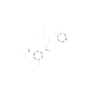 CCCN(CCC)C(=O)c1cc(C)cc(C(=O)N[C@@H](Cc2cc(F)cc(F)c2)[C@@H](O)[C@H](O)COC(C)C)c1